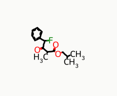 CC(C)COC(=O)C(C)C(=O)C(F)c1ccccc1